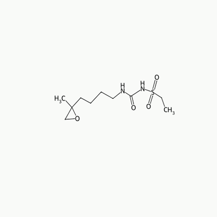 CCS(=O)(=O)NC(=O)NCCCCC1(C)CO1